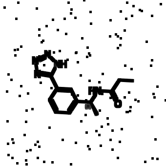 CCC(=O)N[C@@H](C)c1cccc(-c2nnn[nH]2)c1